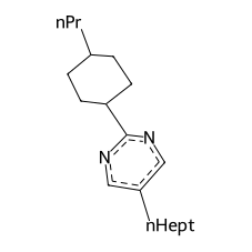 CCCCCCCc1cnc(C2CCC(CCC)CC2)nc1